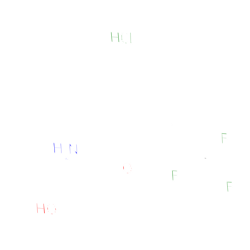 CC[C@@H](N)c1cccc(C(F)(F)F)c1OCCO.Cl